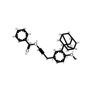 COc1ccc(CC#COC(=O)c2ccccc2)cc1C12CC3CC(CC(C3)C1)C2